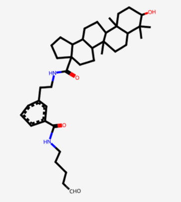 CC1(C)C(O)CCC2(C)C1CCC1(C)C3CCC4(C(=O)NCCc5cccc(C(=O)NCCCCC=O)c5)CCCC4C3CCC12